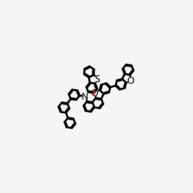 c1ccc(-c2cccc(-c3cccc(N(c4ccc5sc6ccccc6c5c4)c4cccc5ccc6c7cc(-c8ccc9oc%10ccccc%10c9c8)ccc7oc6c45)c3)c2)cc1